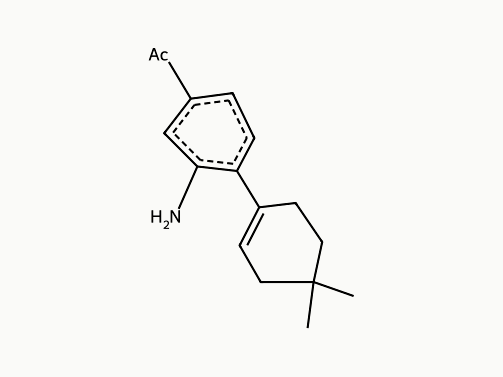 CC(=O)c1ccc(C2=CCC(C)(C)CC2)c(N)c1